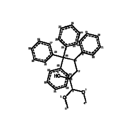 COC(OC)C(O)CC(c1ccccc1)C(c1ccccc1)(c1ccccc1)c1ccccc1